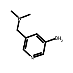 Bc1cncc(CN(C)C)c1